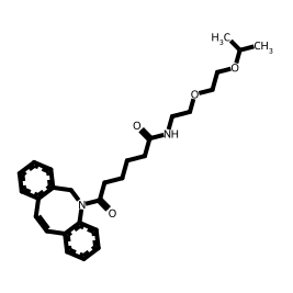 CC(C)OCCOCCNC(=O)CCCCC(=O)N1Cc2ccccc2/C=C\c2ccccc21